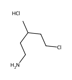 CC(CCN)CCCl.Cl